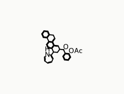 CC(=O)Oc1ccccc1C(=O)C1C=c2c(ccc3c2=CCc2ccccc2-3)C(C2=CC=CC=CN2)C1